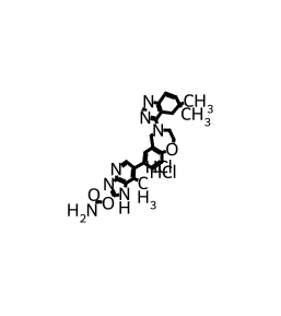 Cc1c(-c2ccc3c(c2)CN(c2ncnc4c2CC(C)(C)C=C4)CCO3)cnc2nc(OC(N)=O)[nH]c12.Cl.Cl